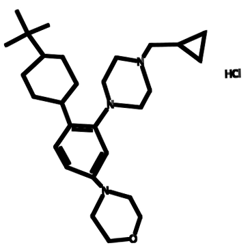 CC(C)(C)C1CCC(c2ccc(N3CCOCC3)cc2N2CCN(CC3CC3)CC2)CC1.Cl